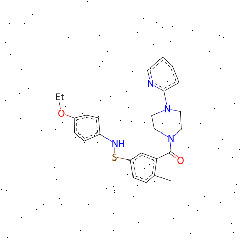 CCOc1ccc(NSc2ccc(C)c(C(=O)N3CCN(c4ccccn4)CC3)c2)cc1